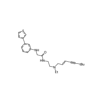 CCN(CC=CC#CC(C)(C)C)CCNC(=O)CNc1cccc(-c2ccsc2)c1